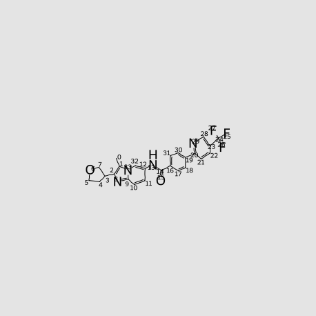 Cc1c(C2CCOC2)nc2ccc(NC(=O)c3ccc(-c4ccc(C(F)(F)F)cn4)cc3)cn12